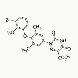 Cc1cc(-n2nc(C(=O)O)c(=O)[nH]c2=O)cc(C)c1Oc1cccc(Br)c1O